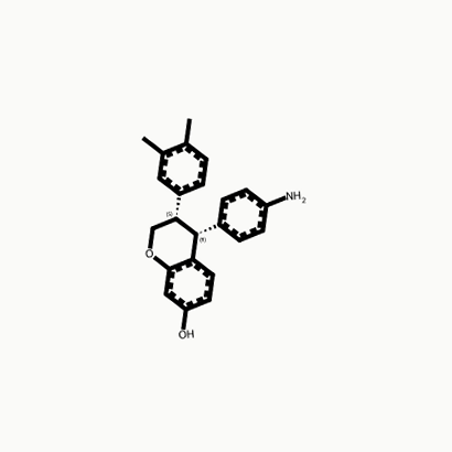 Cc1ccc([C@H]2COc3cc(O)ccc3[C@H]2c2ccc(N)cc2)cc1C